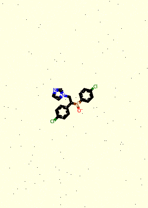 [O-][S+](c1ccc(Cl)cc1)C(Cn1ccnc1)c1ccc(Cl)cc1